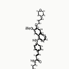 COc1cc2c(Nc3ccc(C=CC(=O)NCCSC)cc3)ncnc2cc1OCCCN1CCOCC1